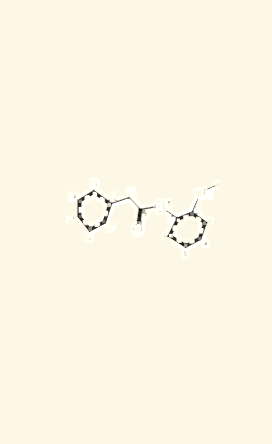 COc1ccccc1OC(=O)Cc1ccccc1